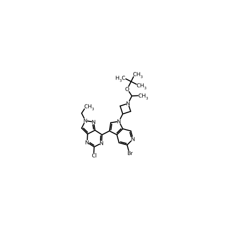 CCn1cc2nc(Cl)nc(-c3cn(C4CN(C(C)OC(C)(C)C)C4)c4cnc(Br)cc34)c2n1